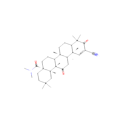 CN(C)C(=O)[C@]12CCC(C)(C)C[C@H]1[C@H]1C(=O)C[C@@H]3[C@@]4(C)C=C(C#N)C(=O)C(C)(C)[C@@H]4CC[C@@]3(C)[C@]1(C)CC2